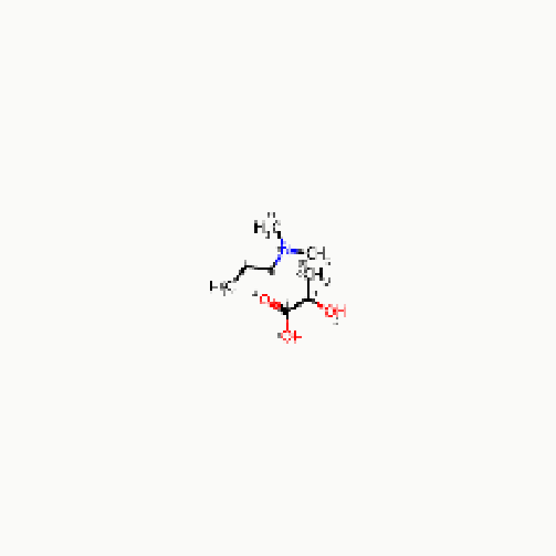 CC(O)C(=O)O.CCCN(C)C